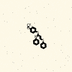 FC(F)(F)Oc1ccc(SC(C=CSc2ccccc2)=Nc2ccccc2)cc1